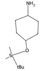 CC(C)(C)[Si](C)(C)OC1CCC(N)CC1